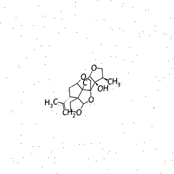 C=C(C)[C@@H]1CC2OCC34OC5OCCC51C23CC1OC[C@@H](C)[C@@]14O